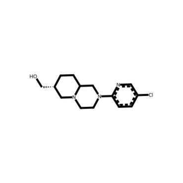 OC[C@@H]1CCC2CN(c3ccc(Cl)cn3)CCN2C1